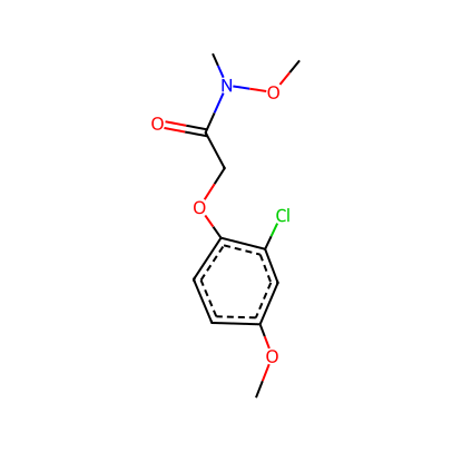 COc1ccc(OCC(=O)N(C)OC)c(Cl)c1